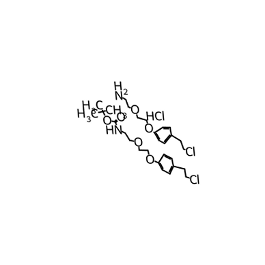 CC(C)(C)OC(=O)NCCOCCOc1ccc(CCCl)cc1.Cl.NCCOCCOc1ccc(CCCl)cc1